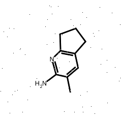 Cc1cc2c(nc1N)CCC2